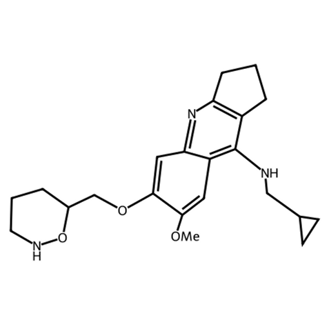 COc1cc2c(NCC3CC3)c3c(nc2cc1OCC1CCCNO1)CCC3